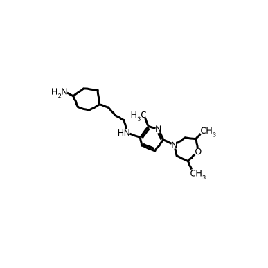 Cc1nc(N2CC(C)OC(C)C2)ccc1NCCCC1CCC(N)CC1